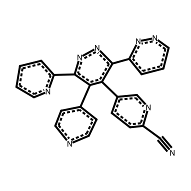 N#Cc1ccc(-c2c(-c3cccnn3)nnc(-c3ccccn3)c2-c2ccncc2)cn1